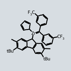 Cc1cc2c(cc1C(C)(C)C)-c1cc(C(C)(C)C)c(C)cc1[CH]2[Zr](=[C](c1cccc(C(F)(F)F)c1)c1cccc(C(F)(F)F)c1)[CH]1C=CC=C1